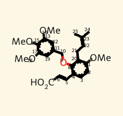 COc1ccc(C=CC(=O)O)c(OCc2cc(OC)c(OC)c(OC)c2)c1CC=C(C)C